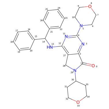 O=C1c2nc(N3CCOCC3)nc(NC(c3ccccc3)c3ccccc3)c2CN1C1CCOCC1